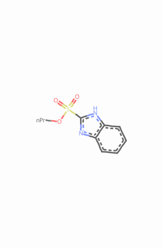 CCCOS(=O)(=O)c1nc2ccccc2[nH]1